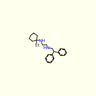 CCC1(NCCNCC(c2ccccc2)c2ccccc2)CCCCC1